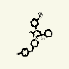 COc1cccc(N(C[C@](O)(CN2CCC(Cc3ccc(F)cc3)CC2)C2CCCCC2)C(N)=O)c1